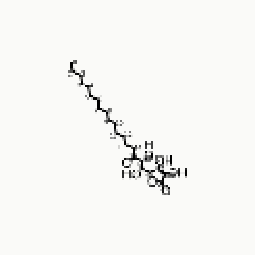 CCCCCCCCCCCCCCCC(=O)C(O)[C@H](O)[C@H]1OC(=O)C(O)=C1O